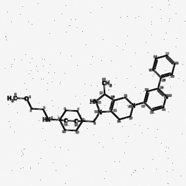 COCCNC12CCC(CN3NC(C)C4=C3CCN(c3ccnc(-c5ccccc5)c3)C4)(CC1)CC2